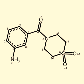 Nc1cccc(C(=O)N2CCS(=O)(=O)CC2)c1